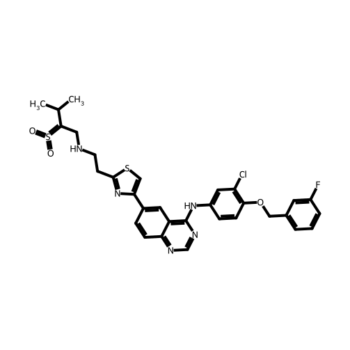 CC(C)C(CNCCc1nc(-c2ccc3ncnc(Nc4ccc(OCc5cccc(F)c5)c(Cl)c4)c3c2)cs1)=S(=O)=O